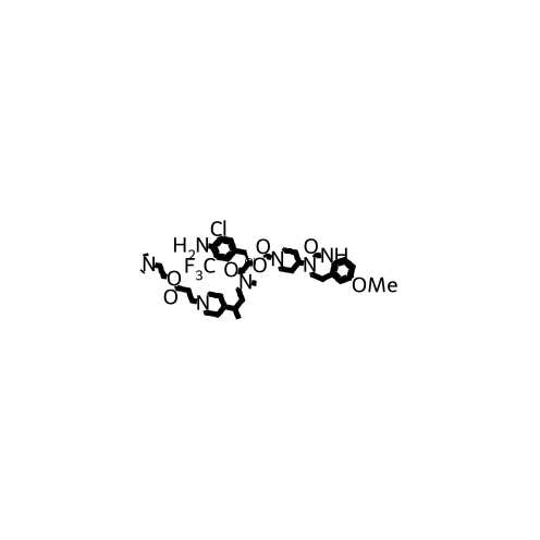 COc1ccc2c(c1)CCN(C1CCN(C(=O)O[C@H](Cc3cc(Cl)c(N)c(C(F)(F)F)c3)C(=O)N(C)CCC(C)C3CCN(CCC(=O)OCCN(C)C)CC3)CC1)C(=O)N2